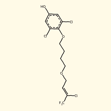 Oc1cc(Cl)c(OCCCCOCC=C(Cl)C(F)(F)F)c(Cl)c1